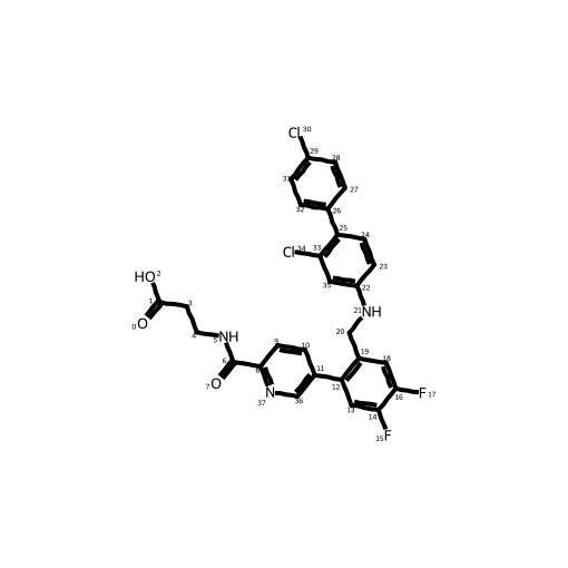 O=C(O)CCNC(=O)c1ccc(-c2cc(F)c(F)cc2CNc2ccc(-c3ccc(Cl)cc3)c(Cl)c2)cn1